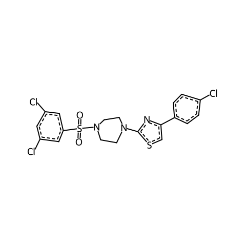 O=S(=O)(c1cc(Cl)cc(Cl)c1)N1CCN(c2nc(-c3ccc(Cl)cc3)cs2)CC1